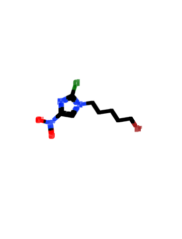 O=[N+]([O-])c1cn(CCCCCBr)c(Cl)n1